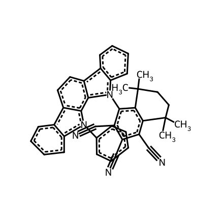 CC1(C)CCC(C)(C)c2c(-n3c4ccccc4c4ccc5c6ccccc6n(-c6ccccc6)c5c43)c(C#N)c(C#N)c(C#N)c21